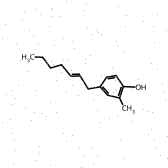 CCCCC=CCc1ccc(O)c(C)c1